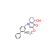 O=C(O)Oc1cn(Cc2ccc(-c3ccccc3)cc2)c2c(c1=O)C(O)CCC2